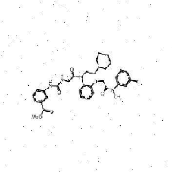 COC(=O)c1cccc(NC(=O)NCC(=O)N(CCC2CCCCC2)c2ccccc2OCC(=O)N(C)c2cccc(Cl)c2)c1